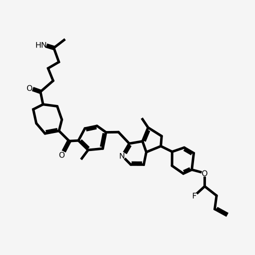 C=CCC(F)OC1=CCC(C2CC(C)=C3C(Cc4ccc(C(=O)C5=CCCC(C(=O)CCCC(C)=N)CC5)c(C)c4)=NC=CC32)C=C1